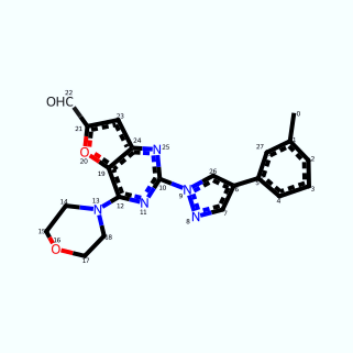 Cc1cccc(-c2cnn(-c3nc(N4CCOCC4)c4oc(C=O)cc4n3)c2)c1